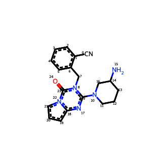 N#Cc1ccccc1Cn1c(N2CCCC(N)C2)nc2cccn2c1=O